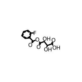 O=C(OC(=O)C(O)C(O)C(=O)O)c1ccccc1F